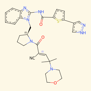 CC(C)(/C=C(\C#N)C(=O)N1CCC[C@H]1Cn1c(NC(=O)c2ccc(-c3cn[nH]c3)s2)nc2ccccc21)N1CCOCC1